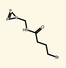 O=C(CCCBr)NCN1P=P1